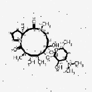 C[C@H]1[C@H](O)[C@@H](C)C(=O)N2CCC[C@H]2CC(=O)N(C)CC[C@@](C)(O)[C@@H]1O[C@@H]1O[C@H](C)C[C@H](N(C)C)[C@H]1O